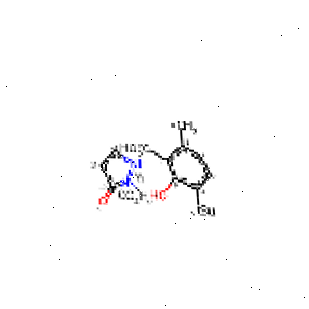 Cc1ccc(C(C)(C)C)c(O)c1C(=O)O.O=C(O)n1[nH]ccc1=O